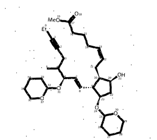 CCC#CCC(C)[C@@H](/C=C/[C@@H]1[C@@H](C/C=C\CCCC(=O)OC)[C@@H](O)C[C@H]1OC1CCCCO1)OC1CCCCO1